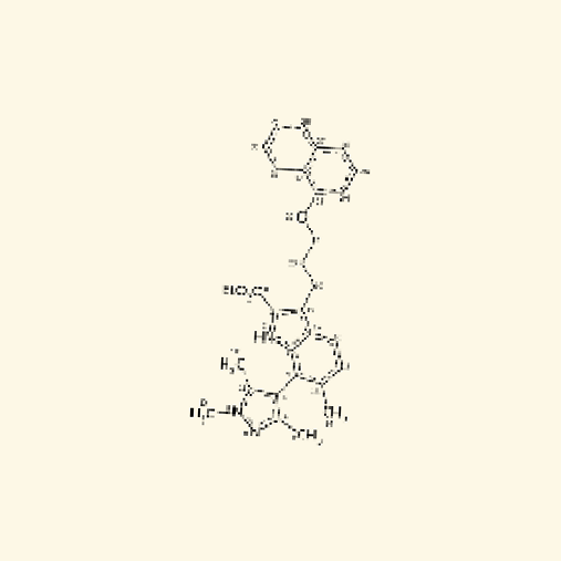 CCOC(=O)c1[nH]c2c(-c3c(C)nn(C)c3C)c(C)ccc2c1CCCOc1cccc2ccccc12